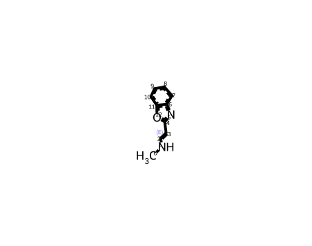 CN/C=C/c1nc2ccccc2o1